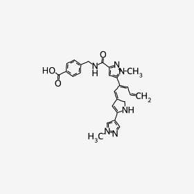 C=C/C=C(\C=C1\C=C(c2cnn(C)c2)NC1)c1cc(C(=O)NCc2ccc(C(=O)O)cc2)nn1C